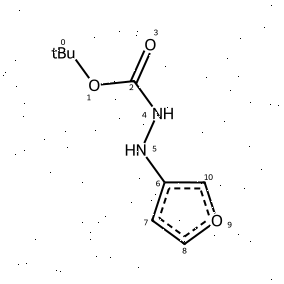 CC(C)(C)OC(=O)NNc1ccoc1